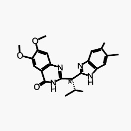 COc1cc2nc([C@H](c3nc4cc(C)c(C)cc4[nH]3)C(C)C)[nH]c(=O)c2cc1OC